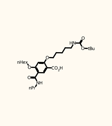 CCCCCCOc1cc(OCCCCCNC(=O)OC(C)(C)C)c(C(=O)O)cc1C(=O)NCCC